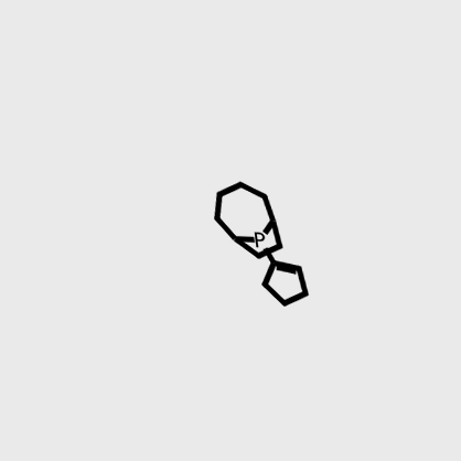 C1=C(P2C3CCCCC2CC3)CCC1